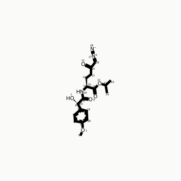 COc1ccc([C@H](O)C(=O)N[C@@H](CCC(=O)C=[N+]=[N-])C(=O)OC(C)C)cc1